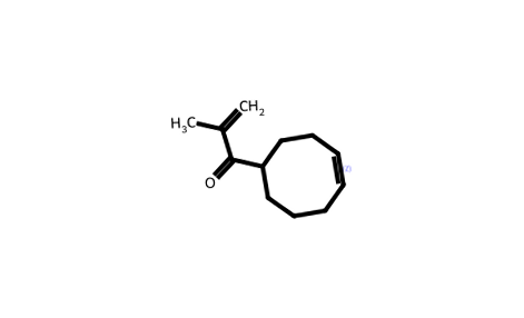 C=C(C)C(=O)C1CC/C=C\CCC1